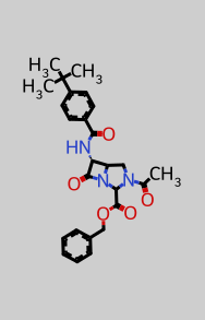 CC(=O)N1CC2[C@@H](NC(=O)c3ccc(C(C)(C)C)cc3)C(=O)N2C1C(=O)OCc1ccccc1